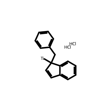 Cl.Cl.[Ti][C]1(Cc2ccccc2)C=Cc2ccccc21